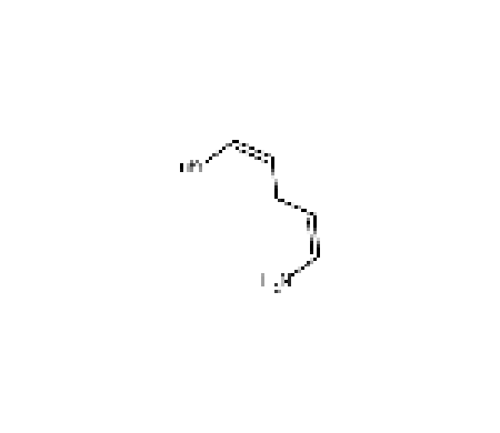 CCC/C=C\C/C=C\N